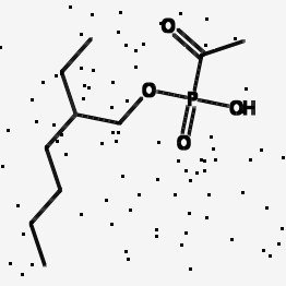 CCCCC(CC)COP(=O)(O)C(C)=O